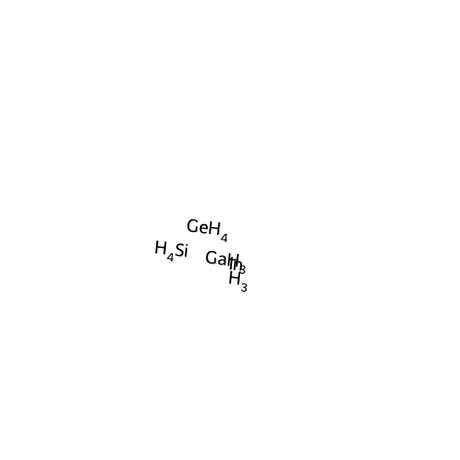 [GaH3].[GeH4].[InH3].[SiH4]